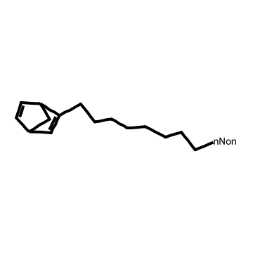 CCCCCCCCCCCCCCCCCC1=CC2C=CC1C2